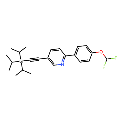 CC(C)[Si](C#Cc1ccc(-c2ccc(OC(F)F)cc2)nc1)(C(C)C)C(C)C